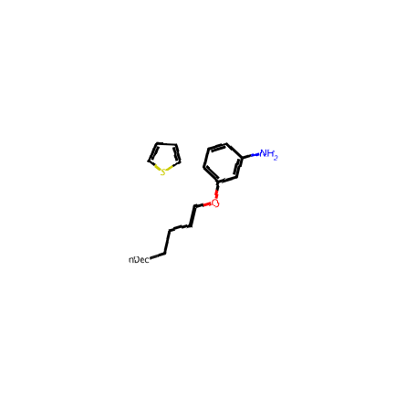 CCCCCCCCCCCCCCOc1cccc(N)c1.c1ccsc1